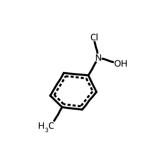 Cc1ccc(N(O)Cl)cc1